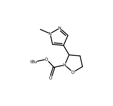 Cn1cc(C2CCON2C(=O)OC(C)(C)C)cn1